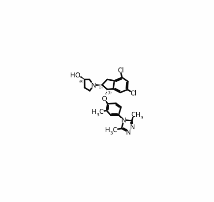 Cc1cc(-n2c(C)nnc2C)ccc1O[C@H]1c2cc(Cl)cc(Cl)c2C[C@@H]1N1CC[C@@H](O)C1